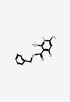 Cc1cc(Cl)c(C(=O)OCc2ccccc2)c(C)n1